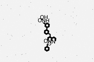 O=C(O)NCc1cccc(-c2cccc(Cc3cc(=O)n(OCc4ccccc4)c4ncccc34)c2)c1